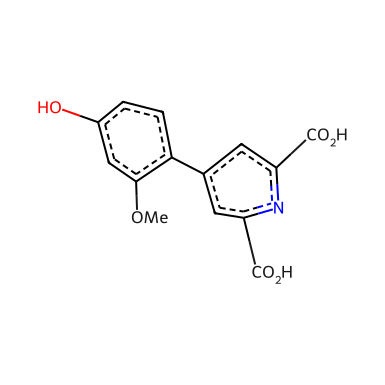 COc1cc(O)ccc1-c1cc(C(=O)O)nc(C(=O)O)c1